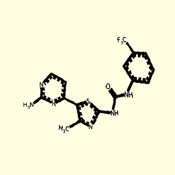 Cc1nc(NC(=O)Nc2cccc(C(F)(F)F)c2)sc1-c1ccnc(N)n1